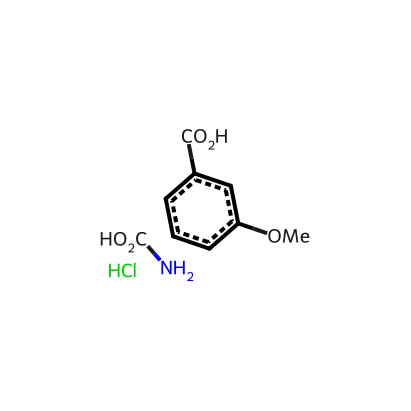 COc1cccc(C(=O)O)c1.Cl.NC(=O)O